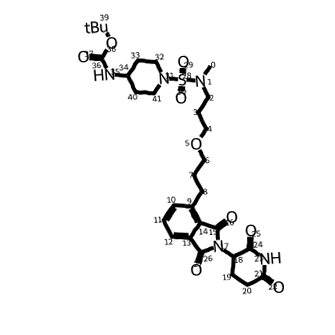 CN(CCCOCCCc1cccc2c1C(=O)N(C1CCC(=O)NC1=O)C2=O)S(=O)(=O)N1CCC(NC(=O)OC(C)(C)C)CC1